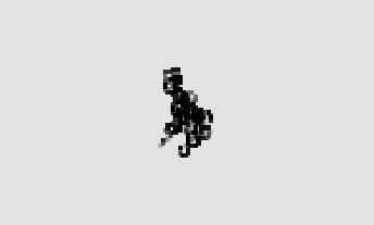 CCCc1ccc(CNC(=O)[C@H]2CN(C(=O)Nc3ccccc3C(=O)OCc3ccccc3)CCN2S(=O)(=O)c2ccc(OC(F)(F)F)cc2)cc1